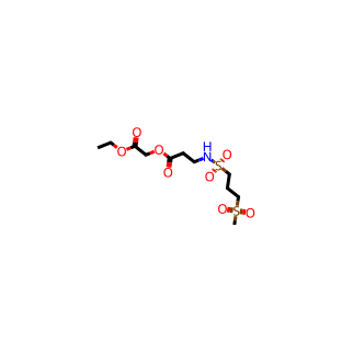 CCOC(=O)COC(=O)CCNS(=O)(=O)CCCS(C)(=O)=O